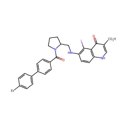 CCc1ccc(-c2ccc(C(=O)N3CCCC3CNc3ccc4[nH]cc(C(=O)O)c(=O)c4c3I)cc2)cc1